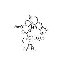 CCOC(=O)C[C@]1(C(=O)OC2C(OC)=CC34CCCN3CCc3cc5c(cc3[C@H]24)OCO5)CCCC(C)(C)O1